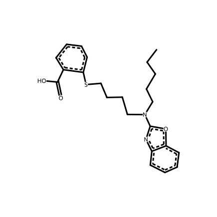 CCCCCN(CCCCSc1ccccc1C(=O)O)c1nc2ccccc2o1